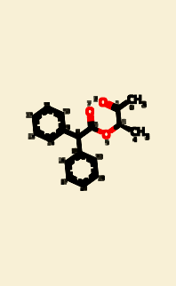 CC(=O)[C@@H](C)OC(=O)C(c1ccccc1)c1ccccc1